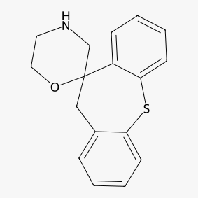 c1ccc2c(c1)CC1(CNCCO1)c1ccccc1S2